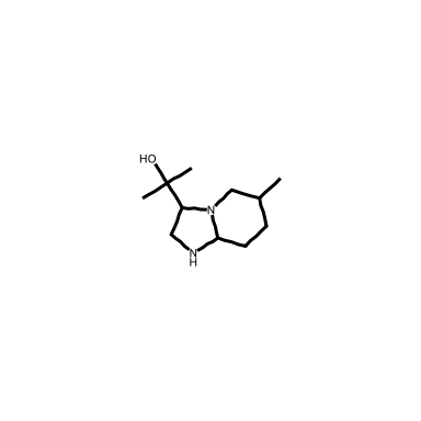 CC1CCC2NCC(C(C)(C)O)N2C1